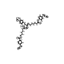 N#COc1ccc(CC(NC(=O)CCCCCOC(=O)c2ccc(N=C=O)cc2)C(=O)OCCCCCC(=O)Oc2ccc(N=C=O)cc2)cc1